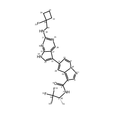 C[C@@H](NC(=O)c1cnn2ccc(-c3c[nH]c4nc(NCC5(F)CCC5)ncc34)cc12)C(F)(F)F